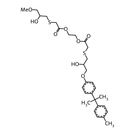 COCC(O)CSCC(=O)OCCOC(=O)CSCC(O)COc1ccc(C(C)(C)c2ccc(C)cc2)cc1